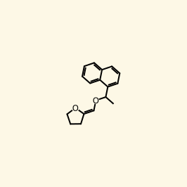 CC(OC=C1CCCO1)c1cccc2ccccc12